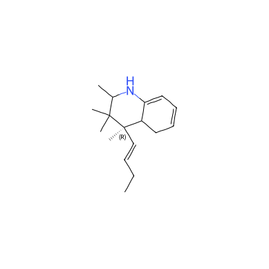 CCC=C[C@]1(C)C2CC=CC=C2NC(C)C1(C)C